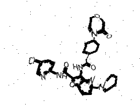 O=C(Nc1ccc(Cl)cn1)c1oc2ccc(N3CCCC3)nc2c1NC(=O)[C@H]1CC[C@H](N2CCOCC2=O)CC1